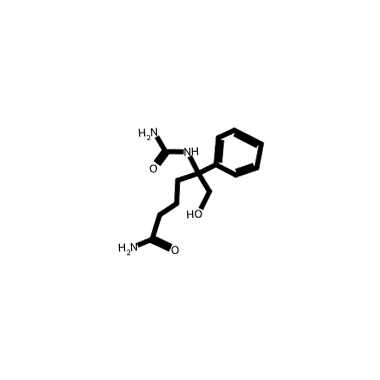 NC(=O)CCCC(CO)(NC(N)=O)c1ccccc1